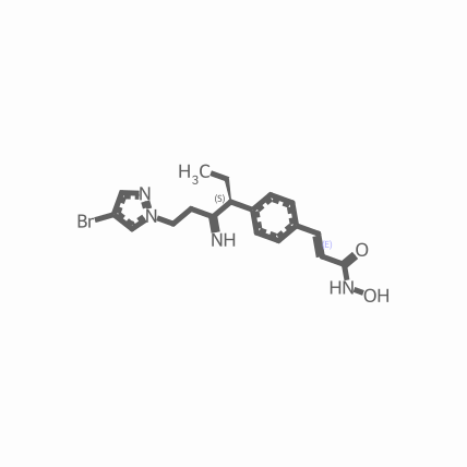 CC[C@H](C(=N)CCn1cc(Br)cn1)c1ccc(/C=C/C(=O)NO)cc1